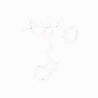 CC(c1ccccc1)[N+]([O-])(NCCNc1nsc2ccccc12)C(=O)OC(C)(C)C